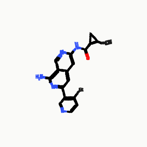 CCc1ccncc1-c1cc2cc(NC(=O)C3CC3C#N)ncc2c(N)n1